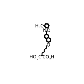 Cc1cccc2oc(-c3ccc4cc(OCCCCCC(C(=O)O)C(=O)O)ccc4c3)nc12